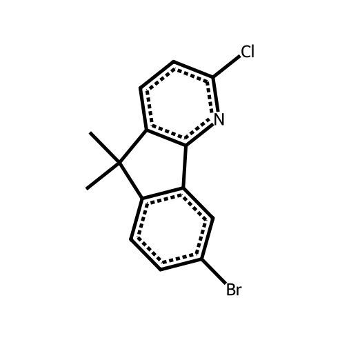 CC1(C)c2ccc(Br)cc2-c2nc(Cl)ccc21